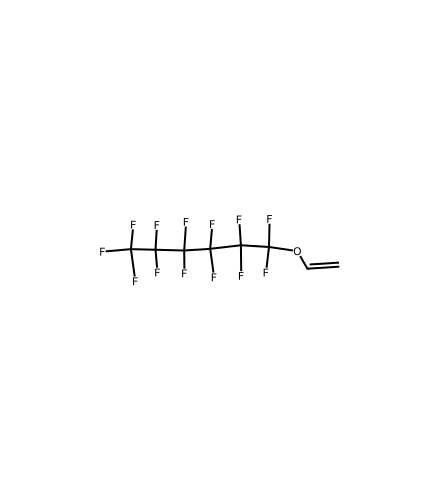 C=COC(F)(F)C(F)(F)C(F)(F)C(F)(F)C(F)(F)C(F)(F)F